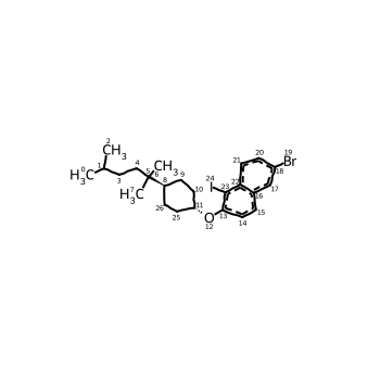 CC(C)CCC(C)(C)[C@H]1CC[C@H](Oc2ccc3cc(Br)ccc3c2I)CC1